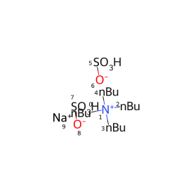 CCCC[N+](CCCC)(CCCC)CCCC.O=S(=O)([O-])O.O=S(=O)([O-])O.[Na+]